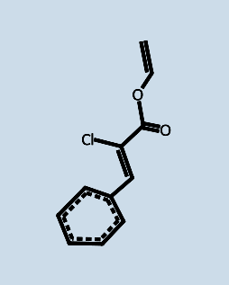 C=COC(=O)/C(Cl)=C/c1ccccc1